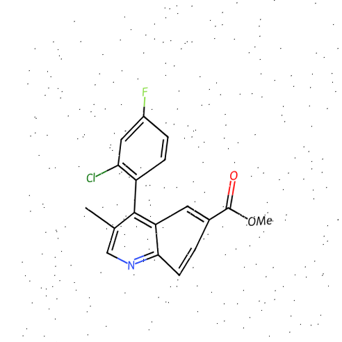 COC(=O)c1ccc2ncc(C)c(-c3ccc(F)cc3Cl)c2c1